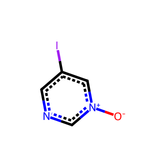 [O-][n+]1cncc(I)c1